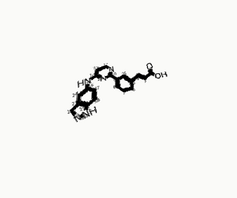 O=C(O)/C=C/c1cccc(-c2nccc(Nc3ccc4[nH]ncc4c3)n2)c1